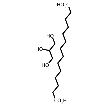 O=C(O)CCCCCCCCCCCCC(=O)O.OCC(O)CO